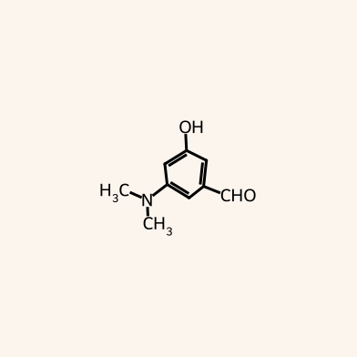 CN(C)c1cc(O)cc(C=O)c1